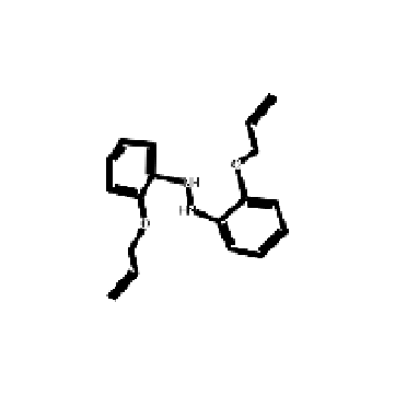 C=CCOc1ccccc1NNc1ccccc1OCC=C